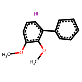 COc1cccc(-c2ccccc2)c1OC.I